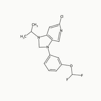 CC(C)N1CN(c2cccc(OC(F)F)c2)c2cnc(Cl)cc21